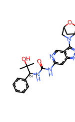 CC(C)(O)[C@@H](NC(=O)Nc1cc2[nH]nc(N3CC4CC3CO4)c2cn1)c1ccccc1